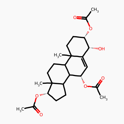 CC(=O)O[C@H]1C=C2[C@@H](O)[C@@H](OC(C)=O)CCC2(C)C2CCC3(C)C(CC[C@@H]3OC(C)=O)C21